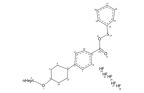 CCCCCCCOC1CCC(c2ccc(C(=O)OSc3ccccc3)cc2)CC1.F.F.F.F.F